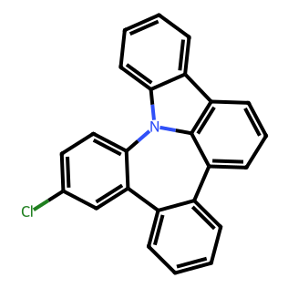 Clc1ccc2c(c1)-c1ccccc1-c1cccc3c4ccccc4n-2c13